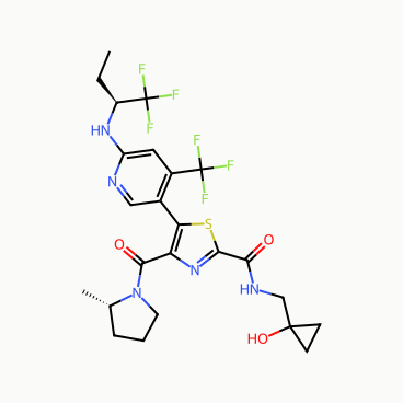 CC[C@H](Nc1cc(C(F)(F)F)c(-c2sc(C(=O)NCC3(O)CC3)nc2C(=O)N2CCC[C@@H]2C)cn1)C(F)(F)F